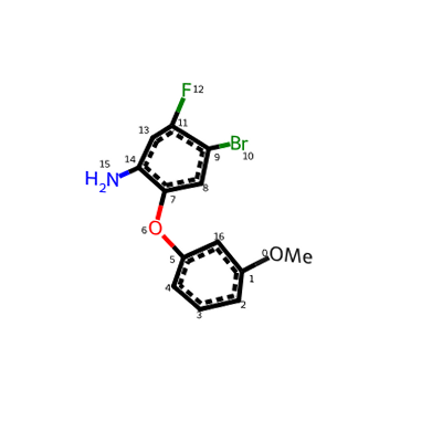 COc1cccc(Oc2cc(Br)c(F)cc2N)c1